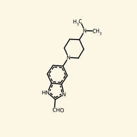 CN(C)C1CCN(c2ccc3[nH]c(C=O)nc3c2)CC1